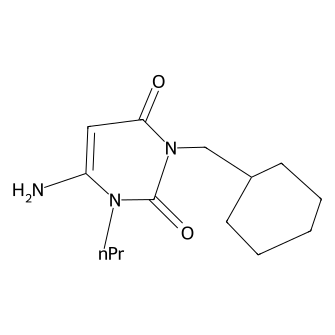 CCCn1c(N)cc(=O)n(CC2CCCCC2)c1=O